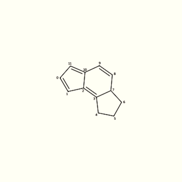 C1=CC2=C3CCCC3C=CC2=C1